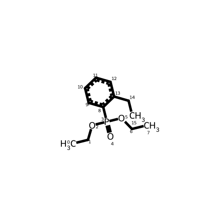 CCOP(=O)(OCC)c1[c]cccc1CC